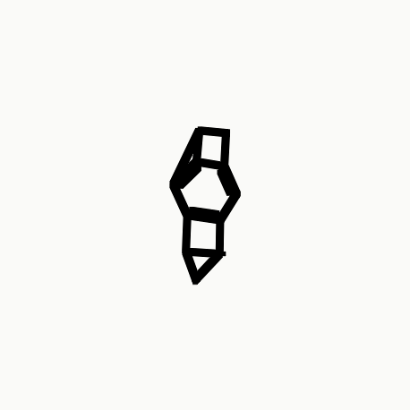 c1c2c3c(c4c1[C]1CC14)C3C2